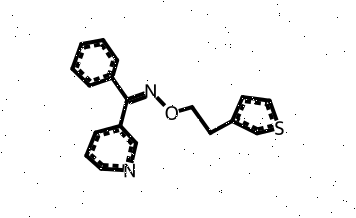 c1ccc(C(=NOCCc2ccsc2)c2cccnc2)cc1